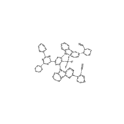 N#Cc1ccccc1-c1ccc2c(c1)c1ccccc1n2-c1cc(-c2nc(-c3ccccc3)nc(-c3ccccc3)n2)cc(-n2c3ccccc3c3cc(-c4ccccc4C#N)ccc32)c1C(F)(F)F